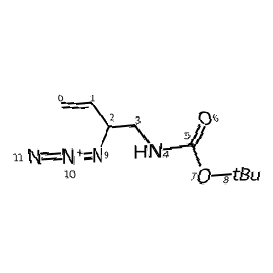 C=CC(CNC(=O)OC(C)(C)C)N=[N+]=[N-]